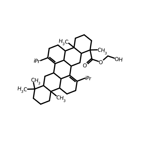 CC(C)C1=C2C3CC4C(C)(C(=O)OCO)CCCC4(C)C4CCC(C(C)C)=C(C5CC6C(C)(C)CCCC6(C)C(CC1)C25)C34